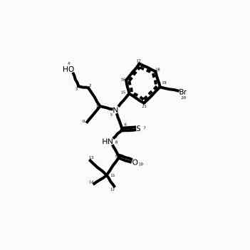 CC(CCO)N(C(=S)NC(=O)C(C)(C)C)c1cccc(Br)c1